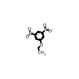 CCOc1cc([N+](=O)[O-])cc([N+](=O)[O-])c1